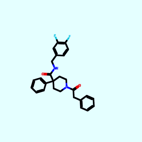 O=C(Cc1ccccc1)N1CCC(C(=O)NCc2ccc(F)c(F)c2)(c2ccccc2)CC1